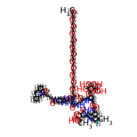 CCC1(O)C(=O)OCc2c1cc1n(c2=O)Cc2c-1nc1cc(F)c(C)c3c1c2C(NC(=O)OCc1ccc(OC2OC(C(=O)O)C(O)C(O)C2O)c(CNC(=O)CCNC(=O)C(CNC(=O)CCOCCOCCOCCOCCOCCOCCOCCOCCOCCOCCOCCOC)NC(=O)C2CC4(CCN(C(=O)CCCCC(=O)N5Cc6ccccc6/C=C\c6ccccc65)CC4)C2)c1)CC3